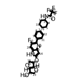 O=C(N[C@H]1CC[C@H](c2ccc(-c3nc4cc(O[C@@H]5CO[C@H]6[C@@H]5OC[C@H]6O)[nH]c4cc3F)cc2)CC1)C(F)(F)F